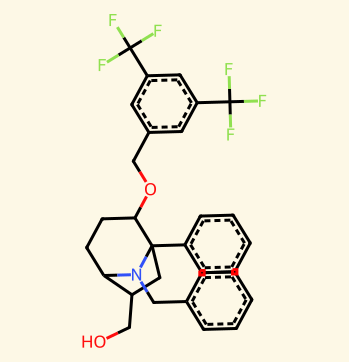 OCC1CC2(c3ccccc3)C(OCc3cc(C(F)(F)F)cc(C(F)(F)F)c3)CCC1N2Cc1ccccc1